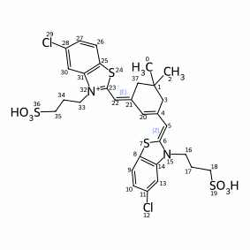 CC1(C)CC(/C=C2\Sc3ccc(Cl)cc3N2CCCS(=O)(=O)O)=CC(=C/c2sc3ccc(Cl)cc3[n+]2CCCS(=O)(=O)O)/C1